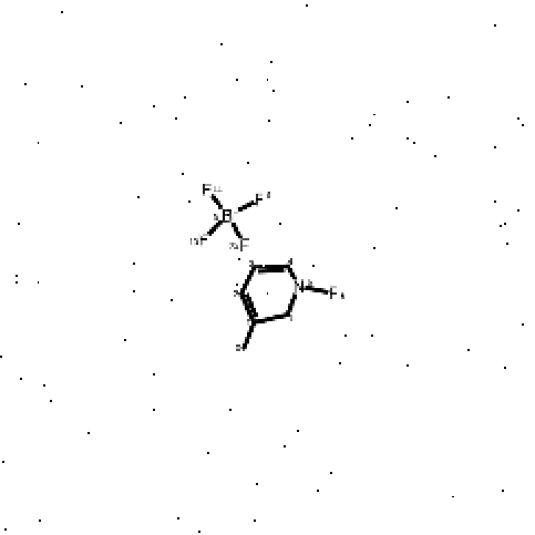 CC1=CC=CN(F)C1.F[B-](F)(F)F